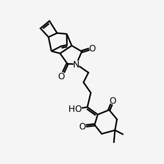 CC1(C)CC(=O)C(=C(O)CCCN2C(=O)C3C4C=CC(C5C=CC54)C3C2=O)C(=O)C1